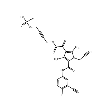 C#CCn1c(C)c(C(=O)C(=O)NCC#CCOP(=O)(O)O)c(C)c1C(=O)Nc1ccc(F)c(C#N)c1